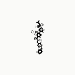 O=C(NCC1CCN(Cc2ccccc2)CC1)c1ccc(-c2ccnc(NC(=O)C3CC3)c2)c([N+](=O)[O-])c1